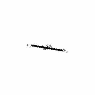 CCCCCCCCCCCCCCCCCCN(CCCCCCCCCCCCCCCCCC)C(C)(C)C.Cl